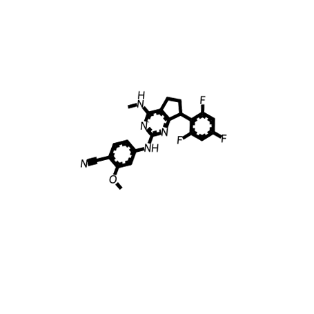 CNc1nc(Nc2ccc(C#N)c(OC)c2)nc2c1CCC2c1c(F)cc(F)cc1F